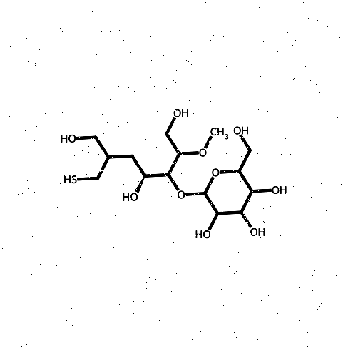 COC(CO)C(OC1OC(CO)C(O)C(O)C1O)[C@@H](O)CC(CO)CS